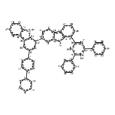 c1ccc(-c2ccc(-c3cc(-c4ccc5c(c4)sc4c(-c6nc(-c7ccccc7)nc(-c7ccccc7)n6)cccc45)c4sc5ccccc5c4c3)cc2)cc1